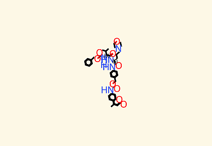 Cc1cc(=O)oc2cc(NC(=O)OCc3ccc(NC(=O)[C@H](CCCN4CCOCC4)NC(=O)[C@@H](NC(=O)OCc4ccccc4)C(C)C)cc3)ccc12